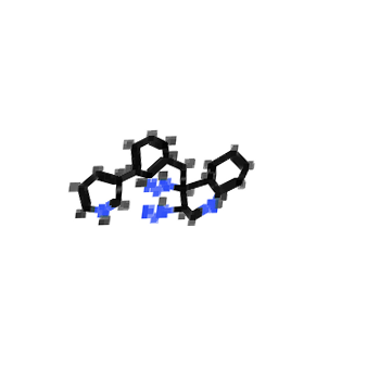 NC1C=Nc2ccccc2C1(N)Cc1cccc(-c2cccnc2)c1